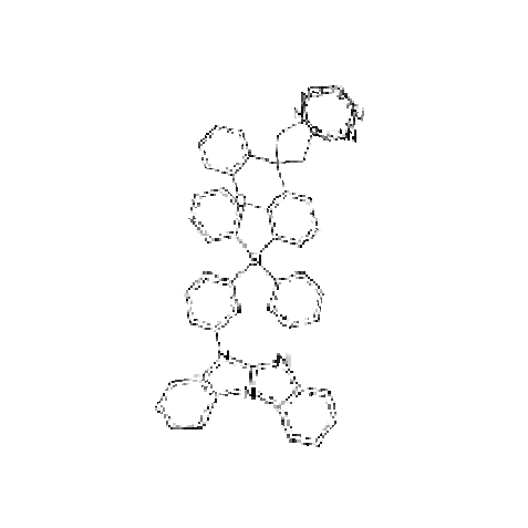 c1ccc([Si](c2ccccc2)(c2cccc(-n3c4ccccc4n4c5ccccc5nc34)c2)c2cccc3c2Oc2ccccc2C3(Cc2cnccn2)Cc2cnccn2)cc1